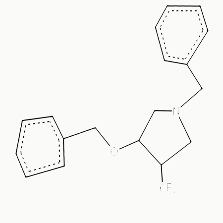 FC(F)(F)C1CN(Cc2ccccc2)CC1OCc1ccccc1